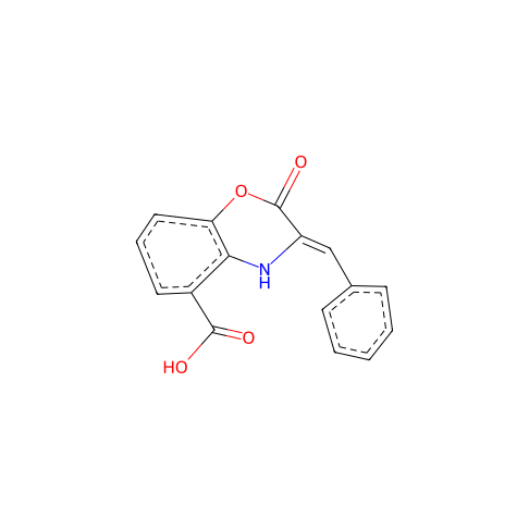 O=C1Oc2cccc(C(=O)O)c2NC1=Cc1ccccc1